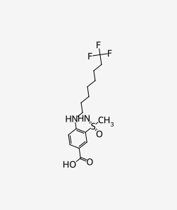 CS(=N)(=O)c1cc(C(=O)O)ccc1NCCCCCCCC(F)(F)F